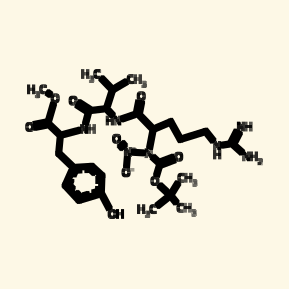 COC(=O)C(Cc1ccc(O)cc1)NC(=O)C(NC(=O)C(CCCNC(=N)N)N(C(=O)OC(C)(C)C)[N+](=O)[O-])C(C)C